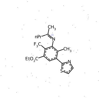 CCC/C(C)=N\c1c(C)c(-c2nccs2)cc(C(=O)OCC)c1C(F)(F)F